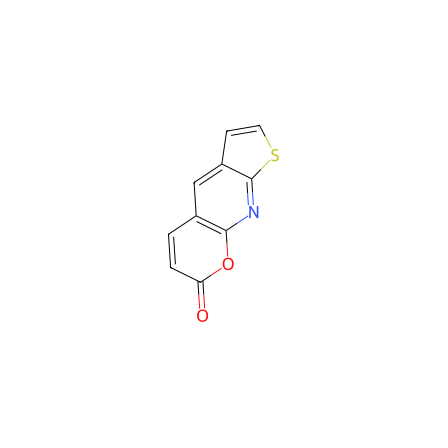 O=c1ccc2cc3ccsc3nc2o1